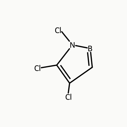 Clc1cbn(Cl)c1Cl